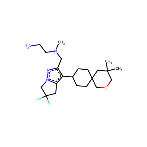 CN(CCN)Cc1nn2c(c1C1CCC3(CC1)COCC(C)(C)C3)CC(F)(F)C2